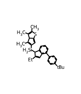 CCC1=Cc2c(-c3ccc(C(C)(C)C)cc3)cccc2C1[SiH2]C1=C(C)C2C(=C1)SC(C)=C2C